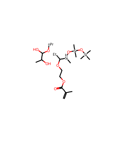 C=C(C)C(=O)OCCOC(CC)[SiH](C)O[Si](C)(C)O[Si](C)(C)C.CCCOC(O)C(C)O